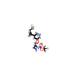 CC(C)(C)OC(=O)N1CC[C@H]1COc1cncc(C2C[C@H]2CCF)c1